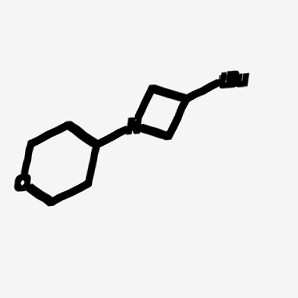 CC(C)(C)C1CN(C2CCOCC2)C1